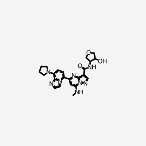 CNc1cc(-c2ccc(N3CCCC3)c3nccn23)nc2c(C(=O)NC3COCC3O)cnn12